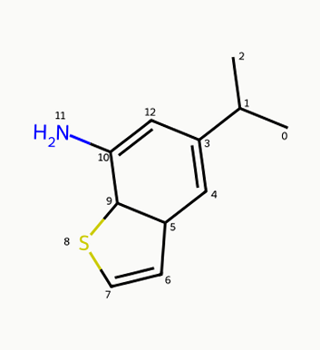 CC(C)C1=CC2C=CSC2C(N)=C1